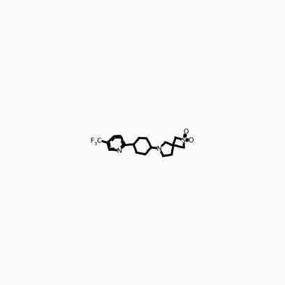 O=S1(=O)CC2(CCN(C3CCC(c4ccc(C(F)(F)F)cn4)CC3)C2)C1